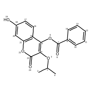 CC(C)Oc1c(OC(=O)c2ccccc2)c2ccc(O)cc2oc1=O